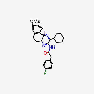 COc1ccc2c(c1)CCC1N=C(NC(=O)Cc3ccc(F)cc3)C(C3CCCCC3)=N[C@@]21I